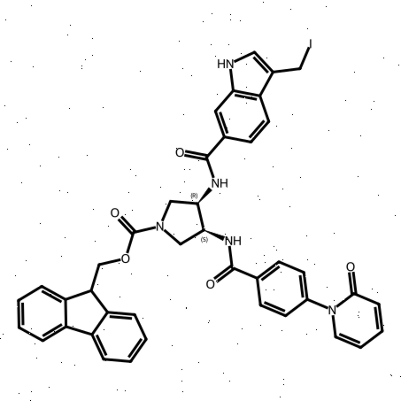 O=C(N[C@H]1CN(C(=O)OCC2c3ccccc3-c3ccccc32)C[C@H]1NC(=O)c1ccc2c(CI)c[nH]c2c1)c1ccc(-n2ccccc2=O)cc1